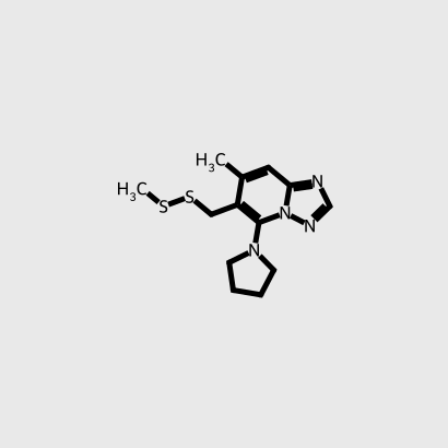 CSSCc1c(C)cc2ncnn2c1N1CCCC1